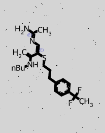 C=C(NCCCC)/C(=C\N=C(/C)N)SCCCc1ccc(C(C)(F)F)cc1